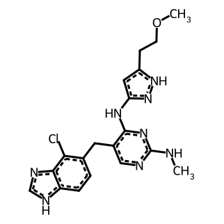 CNc1ncc(Cc2ccc3[nH]cnc3c2Cl)c(Nc2cc(CCOC)[nH]n2)n1